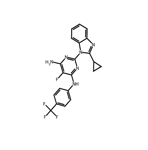 Nc1nc(-n2c(C3CC3)nc3ccccc32)nc(Nc2ccc(C(F)(F)F)cc2)c1F